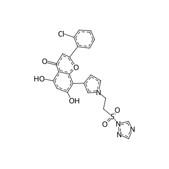 O=c1cc(-c2ccccc2Cl)oc2c(-c3ccn(CCS(=O)(=O)n4cncn4)c3)c(O)cc(O)c12